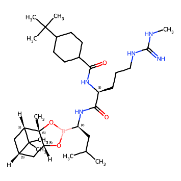 CNC(=N)NCCC[C@H](NC(=O)C1CCC(C(C)(C)C)CC1)C(=O)N[C@@H](CC(C)C)B1O[C@@H]2C[C@@H]3C[C@@H](C3(C)C)[C@]2(C)O1